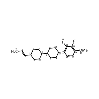 CC=CC1CCC(C2CCC(c3ccc(OC)c(F)c3F)CC2)CC1